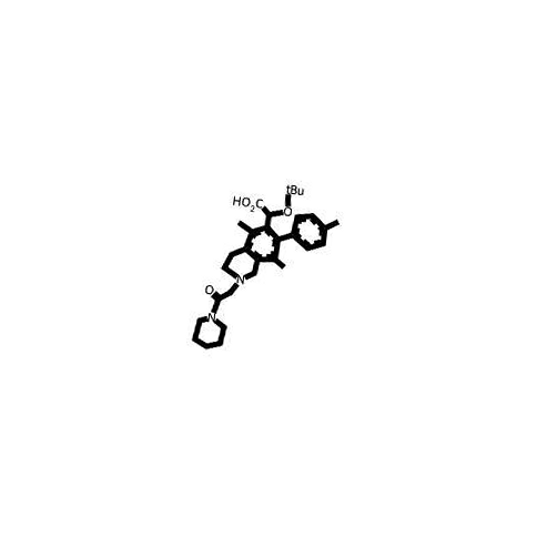 Cc1ccc(-c2c(C)c3c(c(C)c2C(OC(C)(C)C)C(=O)O)CCN(CC(=O)N2CCCCC2)C3)cc1